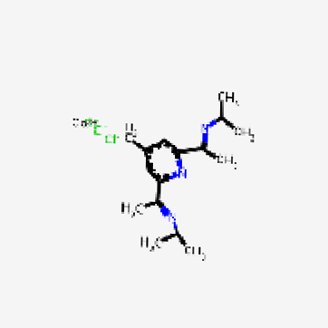 CC(=NC(C)C)c1cc(C)cc(C(C)=NC(C)C)n1.[Cl-].[Cl-].[Cl-].[Co+3]